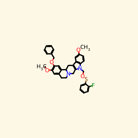 COc1ccc2c(c1)c1c(n2COSc2ccccc2F)CN2CCc3cc(OC)c(OCc4ccccc4)cc3C2C1